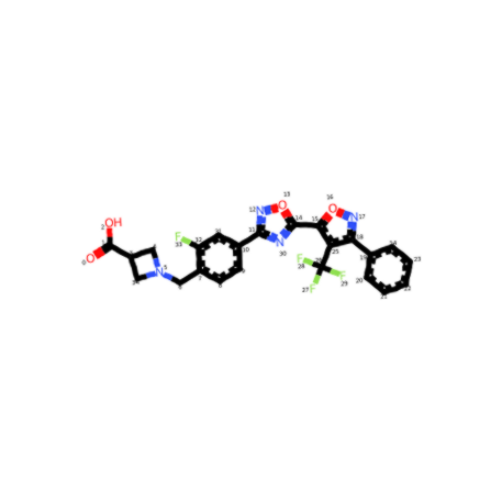 O=C(O)C1CN(Cc2ccc(-c3noc(-c4onc(-c5ccccc5)c4C(F)(F)F)n3)cc2F)C1